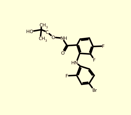 CC(C)(O)CONC(=O)c1ccc(F)c(F)c1Nc1ccc(Br)cc1F